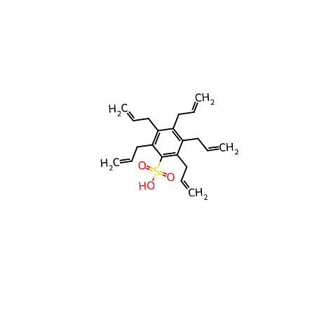 C=CCc1c(CC=C)c(CC=C)c(S(=O)(=O)O)c(CC=C)c1CC=C